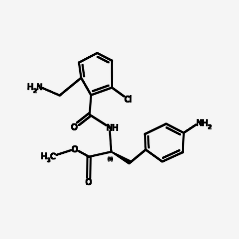 COC(=O)[C@H](Cc1ccc(N)cc1)NC(=O)c1c(Cl)cccc1CN